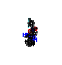 C[C@H]1[C@@H](NC(=Nc2ccc3c(c2)C(=O)N(CCc2ccc(F)cc2F)C3=O)N2CCN[C@@H](C)C2)C[C@@H]2C[C@@H]1C2(C)C